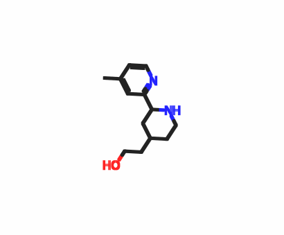 Cc1ccnc(C2CC(CCO)CCN2)c1